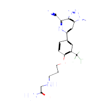 Cn1nnc2c(C#N)nc(-c3ccc(OCCCNCC(N)=O)c(C(F)(F)F)c3)cc21